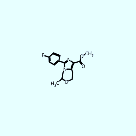 COC(=O)c1nc(-c2ccc(F)cc2)n2c1CCOC(C)C2